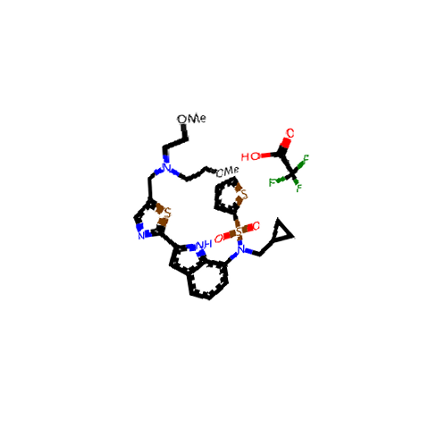 COCCN(CCOC)Cc1cnc(-c2cc3cccc(N(CC4CC4)S(=O)(=O)c4cccs4)c3[nH]2)s1.O=C(O)C(F)(F)F